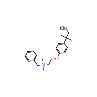 CC(C)(C)CC(C)(C)c1ccc(OCC[N+](C)(C)Cc2ccccc2)cc1